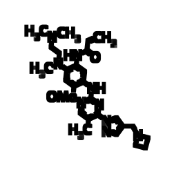 C=CC(=O)Nc1cc(Nc2ncc(C)c(-n3cc(CN4CCC4)cn3)n2)c(OC)cc1N(C)CCN(C)C